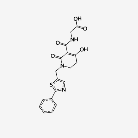 O=C(O)CNC(=O)C1=C(O)CCN(Cc2cnc(-c3ccccc3)s2)C1=O